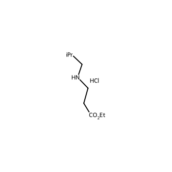 CCOC(=O)CCNCC(C)C.Cl